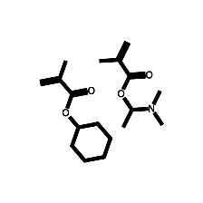 C=C(C)C(=O)OC(C)N(C)C.C=C(C)C(=O)OC1CCCCC1